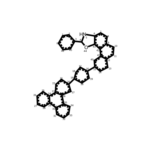 c1ccc(C2Nc3ccc4ccc5ccc(-c6ccc(-c7ccc8c9ccccc9c9ccccc9c8c7)cc6)cc5c4c3O2)cc1